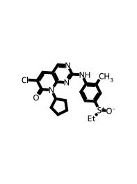 CC[S+]([O-])c1ccc(Nc2ncc3cc(Cl)c(=O)n(C4CCCC4)c3n2)c(C)c1